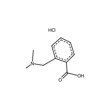 CN(C)Cc1ccccc1C(=O)O.Cl